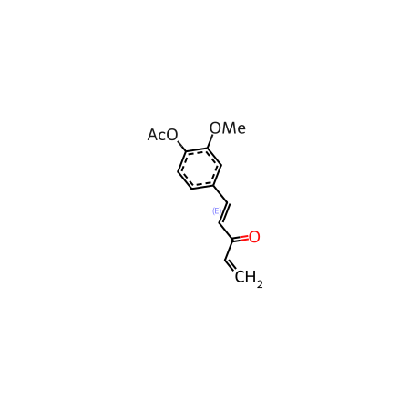 C=CC(=O)/C=C/c1ccc(OC(C)=O)c(OC)c1